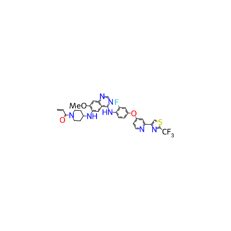 C=CC(=O)N1CCC(Nc2cc3c(Nc4ccc(Oc5ccnc(-c6csc(C(F)(F)F)n6)c5)cc4F)ncnc3cc2OC)CC1